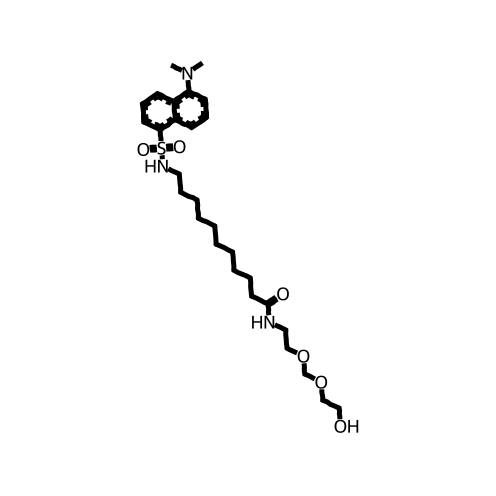 CN(C)c1cccc2c(S(=O)(=O)NCCCCCCCCCCC(=O)NCCOCOCCO)cccc12